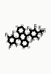 Fc1cc(F)c(F)c(-c2c3ccccc3c(-c3c(F)c(F)c(C(F)(F)F)c(F)c3F)c3ccccc23)c1F